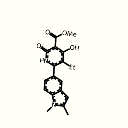 CCc1c(-c2ccc3c(c2)cc(C)n3C)[nH]c(=O)c(C(=O)OC)c1O